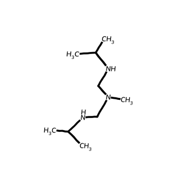 CC(C)NCN(C)CNC(C)C